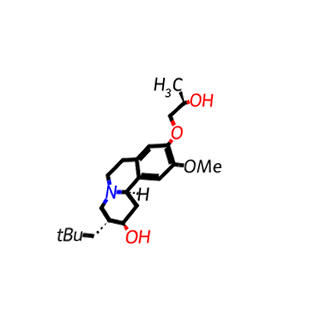 COc1cc2c(cc1OC[C@@H](C)O)CCN1C[C@@H](CC(C)(C)C)[C@H](O)C[C@H]21